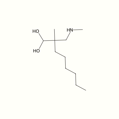 CCCCCCC(C)(CNC)C(O)O